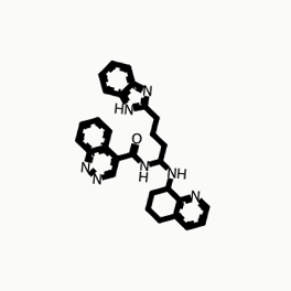 O=C(NC(CCCc1nc2ccccc2[nH]1)NC1CCCc2cccnc21)c1cnnc2ccccc12